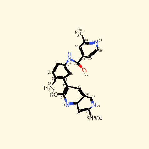 CNc1cc2nc(C#N)c(-c3cc(NC(=O)c4ccnc(C(F)(F)F)c4)ccc3C)cc2cn1